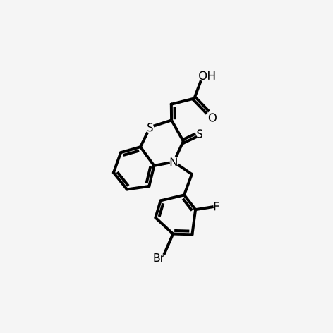 O=C(O)C=C1Sc2ccccc2N(Cc2ccc(Br)cc2F)C1=S